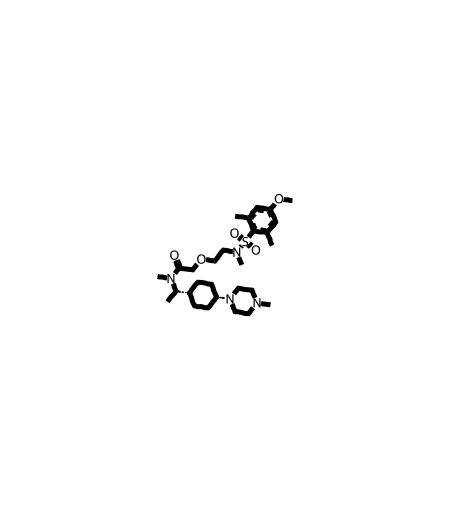 COc1cc(C)c(S(=O)(=O)N(C)CCOCC(=O)N(C)C(C)[C@H]2CC[C@@H](N3CCN(C)CC3)CC2)c(C)c1